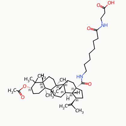 C=C(C)[C@@H]1CC[C@]2(C(=O)NCCCCCCCC(=O)NCCC(=O)O)CC[C@]3(C)[C@H](CCC4[C@@]5(C)CC[C@H](OC(C)=O)C(C)(C)[C@@H]5CC[C@]43C)[C@@H]12